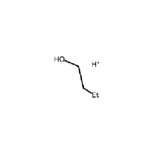 [CH2]CCCO.[H+]